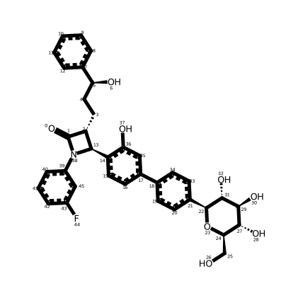 O=C1[C@H](CC[C@H](O)c2ccccc2)[C@@H](c2ccc(-c3ccc([C@@H]4O[C@H](CO)[C@@H](O)[C@H](O)[C@H]4O)cc3)cc2O)N1c1cccc(F)c1